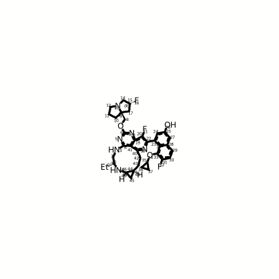 CC[C@@H]1CNc2nc(OC[C@@]34CCCN3C[C@H](F)C4)nc3c(F)c(-c4cc(O)cc5ccc(F)c(OC6CC6)c45)nc(c23)CC[C@H]2C[C@@H]2N1